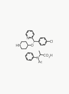 CC(=O)N(c1ccccc1)C(C)C(=O)O.Clc1ccc([C@H](OC2CCNCC2)c2ccccn2)cc1